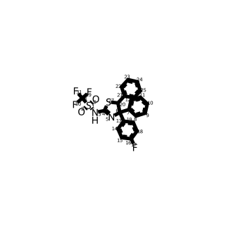 O=S(=O)(NC1=NC(c2ccccc2)(c2ccc(F)cc2)C(c2ccccc2)S1)C(F)(F)F